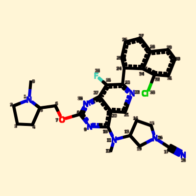 CN1CCCC1COc1nc(N(C)C2CCN(C#N)C2)c2cnc(-c3cccc4cccc(Cl)c34)c(F)c2n1